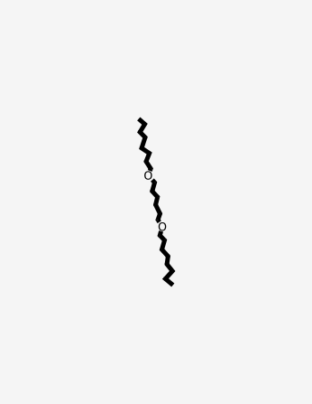 CCCCCCCCOCCCCCCOCCCCCCCC